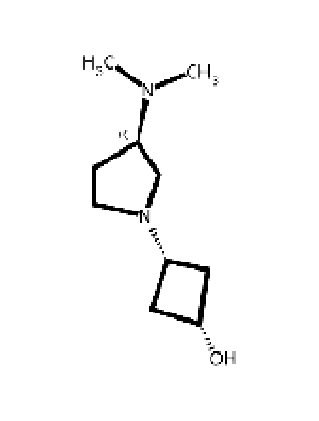 CN(C)[C@@H]1CCN([C@H]2C[C@@H](O)C2)C1